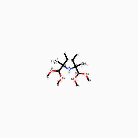 CCC([SiH3])(NC([SiH3])(CC)C(OC)OC)C(OC)OC